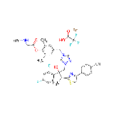 CCCNCC(=O)Oc1c(C)cc(C[n+]2cnn(CC(O)(c3ccc(F)cc3F)C(C)c3nc(-c4ccc(C#N)cc4)cs3)c2)cc1C.O=C(O)C(F)(F)F.[Br-]